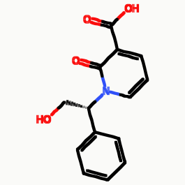 O=C(O)c1cccn([C@@H](CO)c2ccccc2)c1=O